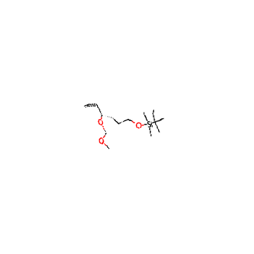 C=C[C@H](CCCO[Si](C)(C)C(C)(C)C)OCOC